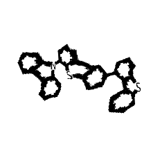 c1ccc2c(c1)sc1cccc(-c3ccc4sc5c(-n6c7ccccc7c7ccccc76)cccc5c4c3)c12